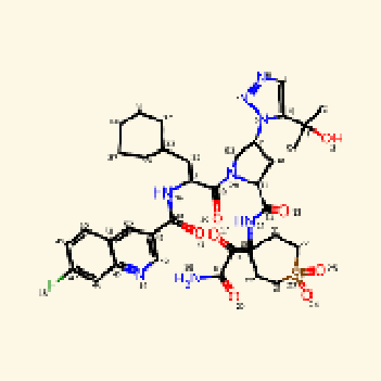 CC(C)(O)c1cnnn1[C@H]1C[C@@H](C(=O)NC2(C(=O)C(N)=O)CCS(=O)(=O)CC2)N(C(=O)C(CC2CCCCC2)NC(=O)c2cnc3cc(F)ccc3c2)C1